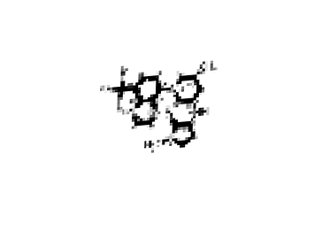 C[C@H]1C[C@@H](N[C@H]2CCN(C)C2=O)CN(c2ccc(C(F)(F)F)c3nccnc23)C1